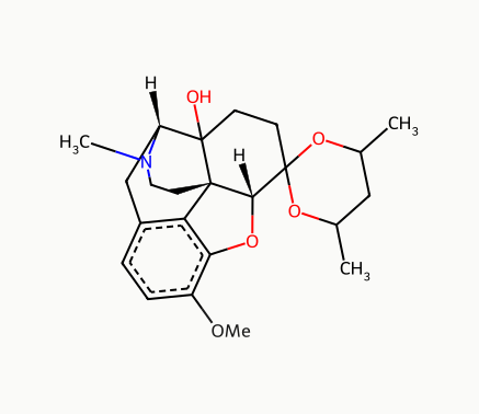 COc1ccc2c3c1O[C@H]1C4(CCC5(O)[C@@H](C2)N(C)CC[C@]315)OC(C)CC(C)O4